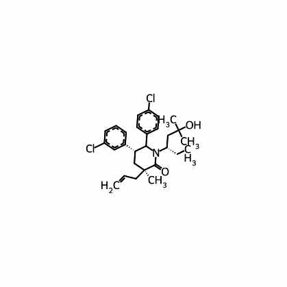 C=CC[C@@]1(C)C[C@H](c2cccc(Cl)c2)C(c2ccc(Cl)cc2)N([C@@H](CC)CC(C)(C)O)C1=O